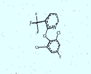 Fc1cc(Cl)c(Oc2ncccc2C(F)(F)F)c(Cl)c1